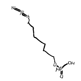 [N-]=[N+]=NCCCCCCO[PH](=O)O